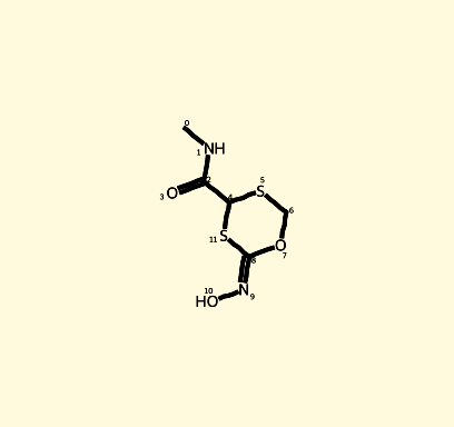 CNC(=O)C1SCOC(=NO)S1